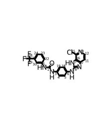 O=C(Nc1ccc(Nc2nc3ccnc(Cl)c3[nH]2)cc1)Nc1cccc(C(F)(F)F)c1